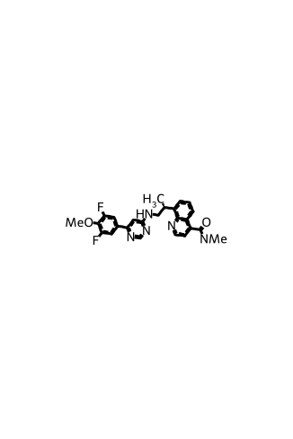 CNC(=O)c1ccnc2c([C@H](C)CNc3cc(-c4cc(F)c(OC)c(F)c4)ncn3)cccc12